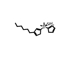 CCCCCCC1=CC[C]([Zr]([CH3])([CH3])(=[SiH2])[C]2=CC=CC2)=C1